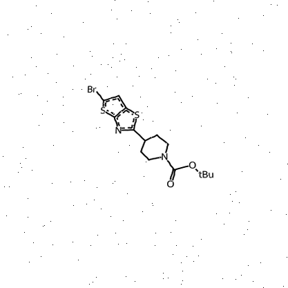 CC(C)(C)OC(=O)N1CCC(c2nc3sc(Br)cc3s2)CC1